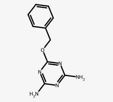 Nc1nc(N)nc(OCc2ccccc2)n1